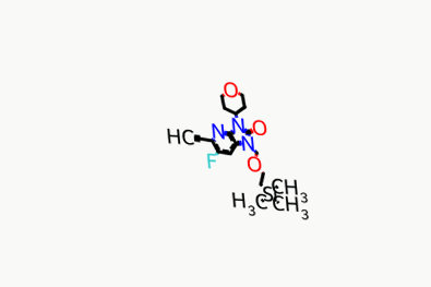 C#Cc1nc2c(cc1F)n(COCC[Si](C)(C)C)c(=O)n2C1CCOCC1